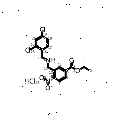 CCOC(=O)c1ccc([N+](=O)[O-])c(CNCc2ccc(Cl)cc2Cl)c1.Cl